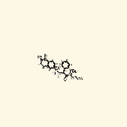 CCCCCN(CCCC)C(=O)C(NS(=O)(=O)c1ccc2c(c1)CCC(=O)N2)c1ccccc1